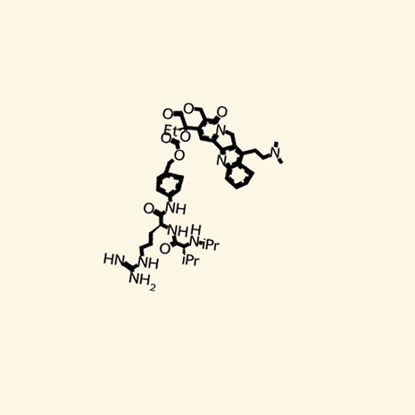 CC[C@@]1(OC(=O)OCc2ccc(NC(=O)[C@H](CCCNC(=N)N)NC(=O)[C@@H](NC(C)C)C(C)C)cc2)C(=O)OCc2c1cc1n(c2=O)Cc2c-1nc1ccccc1c2CCN(C)C